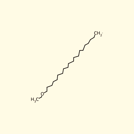 [CH2]CCCCCCCCCCCCCCCCCCCOCC